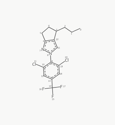 CCCC1CCc2nn(-c3c(Cl)cc(C(F)(F)F)cc3Cl)cc21